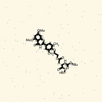 CCCCOC(=O)[C@H](CC(=O)OCCOc1c(C)cc(-c2nc3cc(OC)cc(OC)c3c(=O)[nH]2)cc1C)NC(=O)OC(C)(C)C